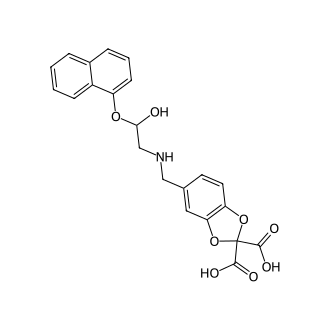 O=C(O)C1(C(=O)O)Oc2ccc(CNCC(O)Oc3cccc4ccccc34)cc2O1